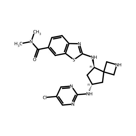 CN(C)C(=O)c1ccc2nc(N[C@@H]3C[C@@H](Nc4ncc(Cl)cn4)CC34CNC4)sc2c1